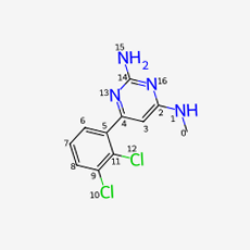 CNc1cc(-c2cccc(Cl)c2Cl)nc(N)n1